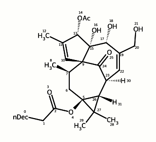 CCCCCCCCCCCC(=O)O[C@@]12C[C@@H](C)[C@]34C=C(C)[C@H](OC(C)=O)[C@@]3(O)[C@H](O)C(CO)=C[C@H](C4=O)[C@@H]1C2(C)C